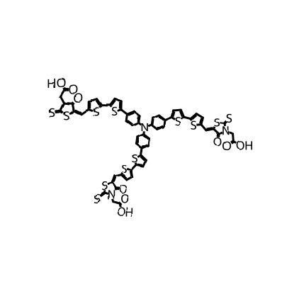 O=C(O)CC1C(=O)/C(=C\c2ccc(-c3ccc(-c4ccc(N(c5ccc(-c6ccc(-c7ccc(/C=C8\SC(=S)N(CC(=O)O)C8=O)s7)s6)cc5)c5ccc(-c6ccc(-c7ccc(/C=C8/SC(=S)N(CC(=O)O)C8=O)s7)s6)cc5)cc4)s3)s2)SC1=S